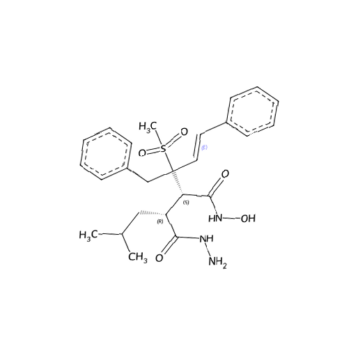 CC(C)C[C@@H](C(=O)NN)[C@@H](C(=O)NO)C(/C=C/c1ccccc1)(Cc1ccccc1)S(C)(=O)=O